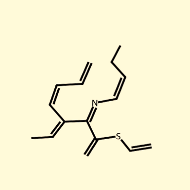 C=C\C=C/C(=C\C)C(=N/C=C\CC)/C(=C)SC=C